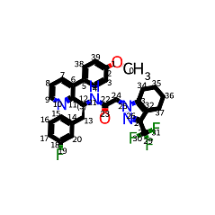 COc1ccc(-c2cccnc2[C@H](Cc2cccc(F)c2)NC(=O)Cn2nc(C(F)(F)F)c3c2CCCC3)cc1